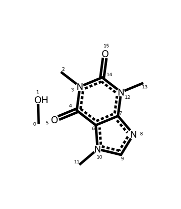 CO.Cn1c(=O)c2c(ncn2C)n(C)c1=O